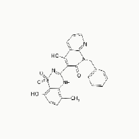 Cc1ccc(O)c2c1NC(c1c(O)c3cccnc3n(Cc3ccccc3)c1=O)=NS2(=O)=O